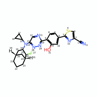 N#Cc1csc(-c2ccc(-c3ncc(N(C4CC4)[C@@H]4C[C@H]5CCC[C@H](C5)[C@@H]4F)nn3)c(O)c2)n1